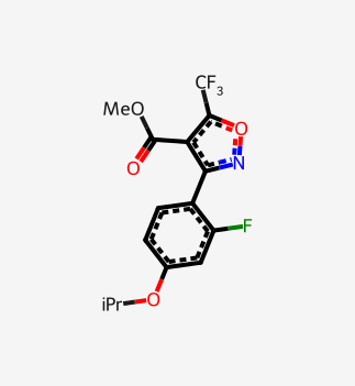 COC(=O)c1c(-c2ccc(OC(C)C)cc2F)noc1C(F)(F)F